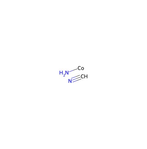 C#N.[NH2][Co]